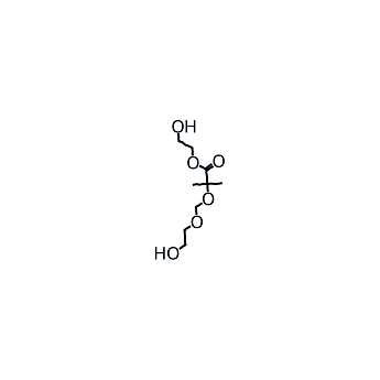 CC(C)(OCOCCO)C(=O)OCCO